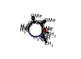 C=CCOC(=O)NC1[C@@H](O)C(OC2/C=C/C=C/C=C/C=C/C=C/C=C/C=C/[C@H](C)[C@@H](O)[C@@H](C)[C@H](C)OC(=O)CC3CC(CCC(O)C4CC(CC5(OC)C[C@H](O)[C@@H](C(=O)OCC=C)[C@H](C2)O5)OC(c2ccc(OC)cc2)O4)OC(c2ccc(OC)cc2)O3)O[C@H](C)[C@H]1O